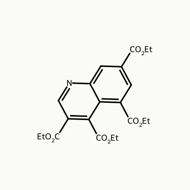 CCOC(=O)c1cc(C(=O)OCC)c2c(C(=O)OCC)c(C(=O)OCC)cnc2c1